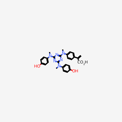 C=C(C(=O)O)c1ccc(N(C)c2nc(N(C)c3ccc(O)cc3)nc(N(C)c3ccc(O)cc3)n2)cc1